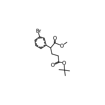 COC(=O)C(CCC(=O)OC(C)(C)C)c1cccc(Br)c1